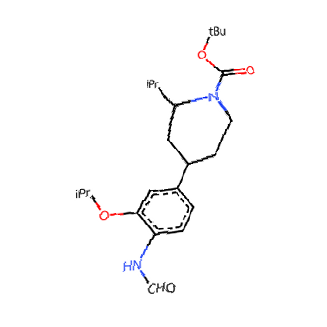 CC(C)Oc1cc(C2CCN(C(=O)OC(C)(C)C)C(C(C)C)C2)ccc1NC=O